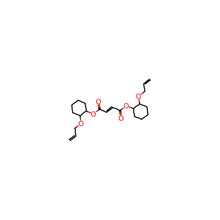 C=CCOC1CCCCC1OC(=O)C=CC(=O)OC1CCCCC1OCC=C